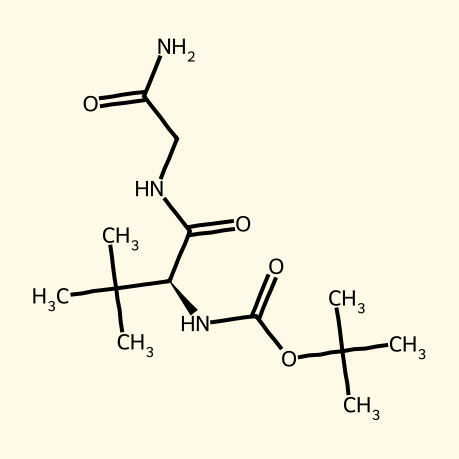 CC(C)(C)OC(=O)N[C@H](C(=O)NCC(N)=O)C(C)(C)C